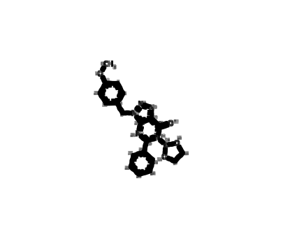 COc1ccc(Cn2nnc3c(=O)n(B4OCCO4)c(-c4ccccc4)nc32)cc1